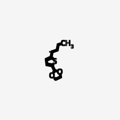 CCC[CH]c1ccc(C2OCCO2)s1